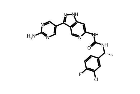 C[C@@H](NC(=O)Nc1cc2[nH]nc(-c3cnc(N)nc3)c2cn1)c1ccc(F)c(Cl)c1